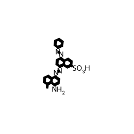 Cc1cccc2c(/N=N/c3ccc(/N=N/c4ccccc4)c4ccc(S(=O)(=O)O)cc34)ccc(N)c12